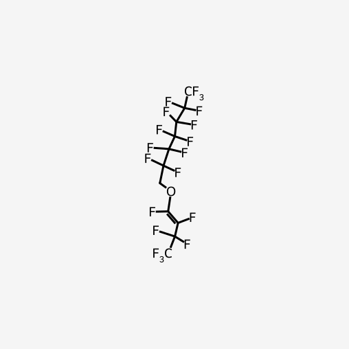 FC(OCC(F)(F)C(F)(F)C(F)(F)C(F)(F)C(F)(F)C(F)(F)F)=C(F)C(F)(F)C(F)(F)F